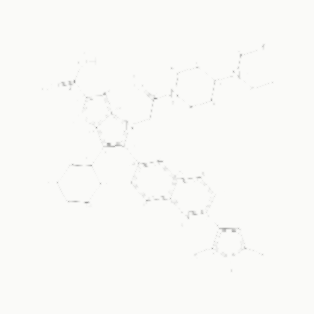 CCN(CC)C1CCN(C(=O)Cn2c(-c3ccc4nc(-c5cc(C)sc5C)ccc4c3)c(C3CCCCC3)c3sc(C(=O)O)cc32)CC1